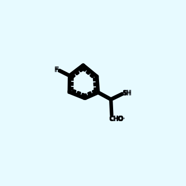 O=[C]C(S)c1ccc(F)cc1